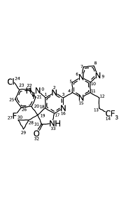 Nc1nc(-c2cn3ccnc3c(CCC(F)(F)F)n2)nc2c1C(c1ccc(Cl)cc1F)(C1CC1)C(=O)N2